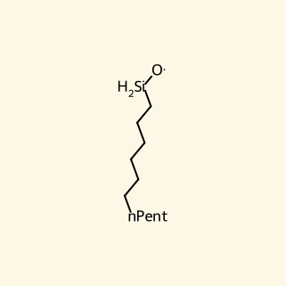 CCCCCCCCCCC[SiH2][O]